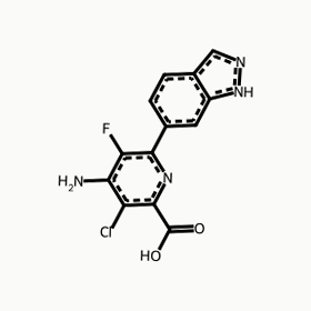 Nc1c(F)c(-c2ccc3cn[nH]c3c2)nc(C(=O)O)c1Cl